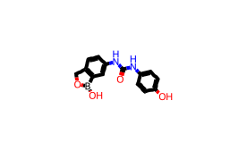 O=C(Nc1ccc(O)cc1)Nc1ccc2c(c1)B(O)OC2